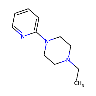 CCN1CCN(c2ccccn2)CC1